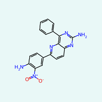 Nc1nc(-c2ccccc2)c2nc(-c3ccc(N)c([N+](=O)[O-])c3)ccc2n1